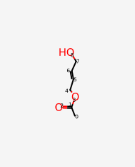 CC(=O)OCC=CCO